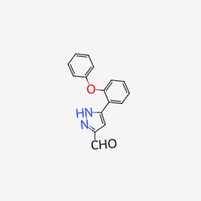 O=Cc1cc(-c2ccccc2Oc2ccccc2)[nH]n1